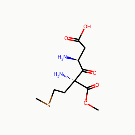 COC(=O)[C@@](N)(CCSC)C(=O)[C@@H](N)CC(=O)O